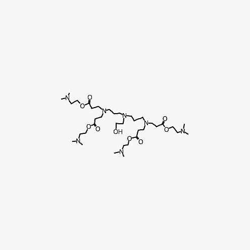 CN(C)CCOC(=O)CCN(CCCN(CCO)CCCN(CCC(=O)OCCN(C)C)CCC(=O)OCCN(C)C)CCC(=O)OCCN(C)C